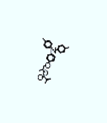 C=C(C)C(=O)OC(C)COc1ccc(N(c2ccc(C)cc2)c2ccc(C)cc2)cc1